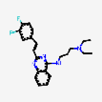 CCN(CC)CCCNc1nc(C=Cc2ccc(F)c(F)c2)nc2ccccc12